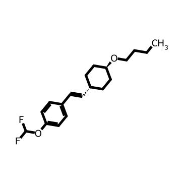 CCCCO[C@H]1CC[C@H](/C=C/c2ccc(OC(F)F)cc2)CC1